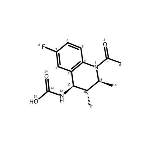 CC(=O)N1c2ccc(F)cc2[C@H](NC(=O)O)[C@@H](C)[C@@H]1C